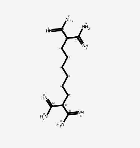 N=C(N)C(CCCCCCC(C(=N)N)C(=N)N)C(=N)N